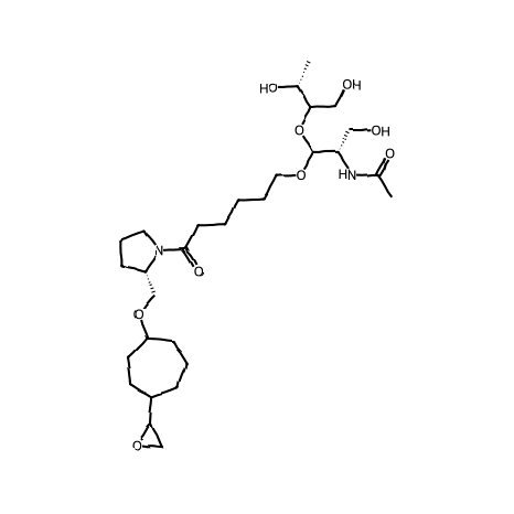 CC(=O)N[C@@H](CO)C(OCCCCCC(=O)N1CCC[C@H]1COC1CCCC(C2CO2)CC1)OC(CO)[C@@H](C)O